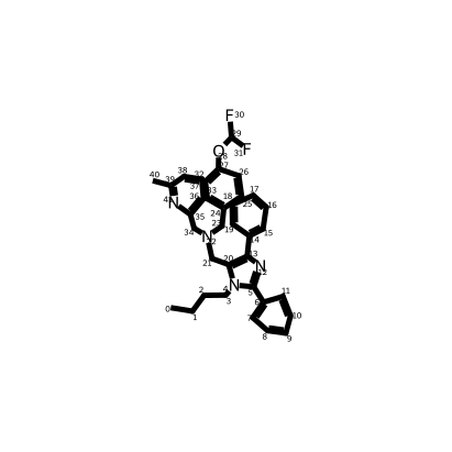 CCCCn1c(-c2ccccc2)nc(-c2ccccc2)c1CN(Cc1ccc(OC(F)F)cc1)Cc1cccc(C)n1